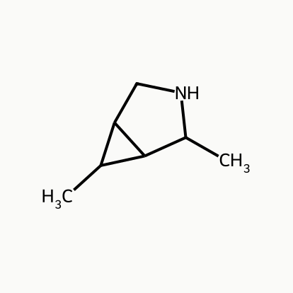 CC1NCC2C(C)C12